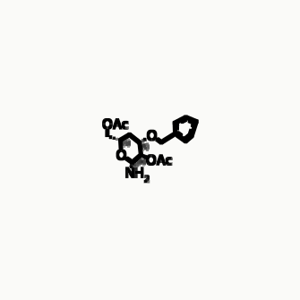 CC(=O)OC[C@@H]1C[C@H](OCc2ccccc2)[C@@H](OC(C)=O)[C@H](N)O1